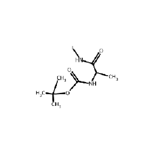 CC(NC(=O)OC(C)(C)C)C(=O)NI